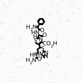 NC(=O)NCCC(Sc1nnn[nH]1)C1=C(C(=O)O)N2C(=O)C(NC(=O)C(N)c3ccccc3)[C@@H]2SC1